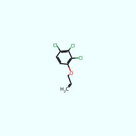 C=CCOc1ccc(Cl)c(Cl)c1Cl